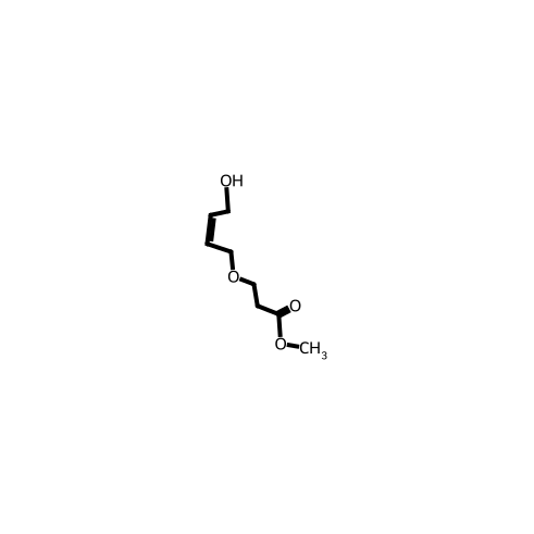 COC(=O)CCOC/C=C\CO